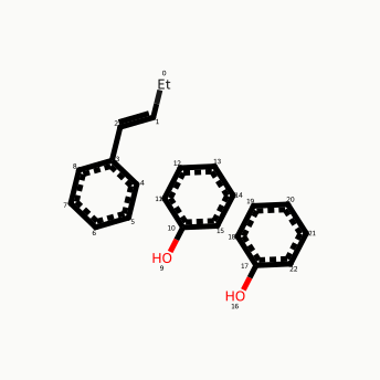 CCC=Cc1ccccc1.Oc1ccccc1.Oc1ccccc1